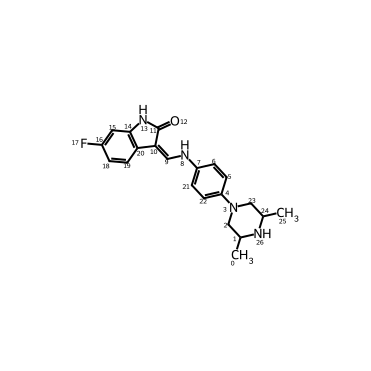 CC1CN(c2ccc(NC=C3C(=O)Nc4cc(F)ccc43)cc2)CC(C)N1